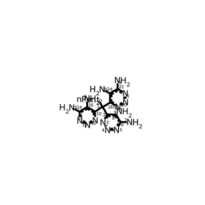 CCCCCC(c1nnnc(N)c1N)(c1nnnc(N)c1N)c1nnnc(N)c1N